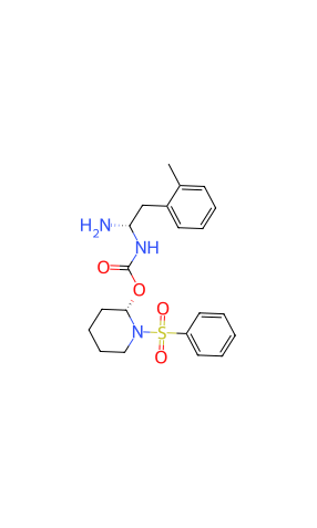 Cc1ccccc1C[C@@H](N)NC(=O)O[C@H]1CCCCN1S(=O)(=O)c1ccccc1